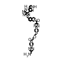 NCc1cnc(N2CCN(C(=O)CCOCCN3CCN(c4ncc(C(=O)N5CCc6cc(Cn7nc(-c8cnc9[nH]ccc9c8)c8c(N)ncnc87)ccc6C5)cn4)CC3)CC2)nc1